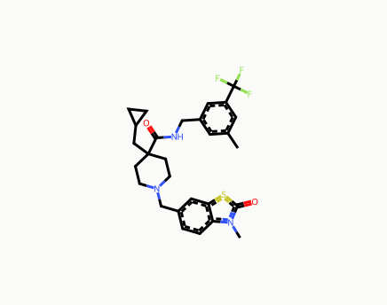 Cc1cc(CNC(=O)C2(CC3CC3)CCN(Cc3ccc4c(c3)sc(=O)n4C)CC2)cc(C(F)(F)F)c1